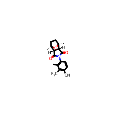 Cc1c(N2C(=O)[C@@H]3[C@H](C2=O)[C@@]2(C)CC[C@]3(C)O2)ccc(C#N)c1C(F)(F)F